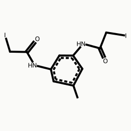 Cc1cc(NC(=O)CI)cc(NC(=O)CI)c1